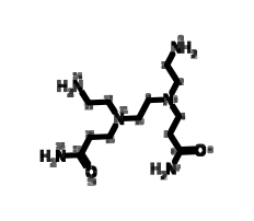 NCCN(CCC(N)=O)CCN(CCN)CCC(N)=O